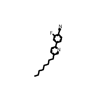 CCCCCCCCc1ccc(-c2ccc(C#N)c(F)c2)nc1